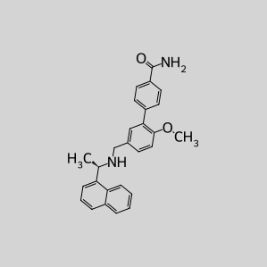 COc1ccc(CN[C@H](C)c2cccc3ccccc23)cc1-c1ccc(C(N)=O)cc1